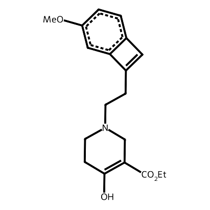 CCOC(=O)C1=C(O)CCN(CCC2=Cc3ccc(OC)cc32)C1